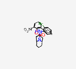 O=C(Oc1c([N+](=O)[O-])cccc1[N+](=O)[O-])N1C2CCCC1CC(Nc1ccccc1Br)C2